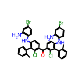 Cc1ccccc1-c1c(Nc2ccc(Br)cc2N)ccc(C(=O)c2ccc(Nc3ccc(Br)cc3N)c(-c3ccccc3C)c2Cl)c1Cl